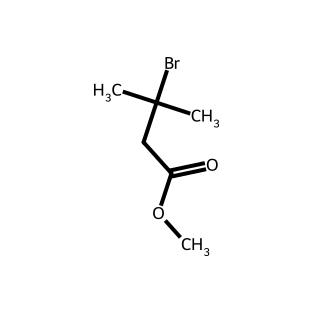 COC(=O)CC(C)(C)Br